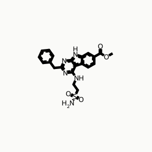 COC(=O)c1ccc2c(c1)[nH]c1nc(Cc3ccccc3)nc(NCCS(N)(=O)=O)c12